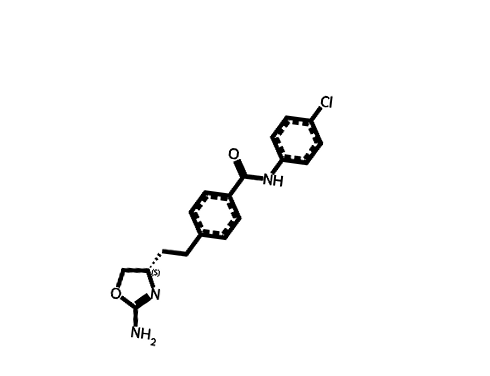 NC1=N[C@@H](CCc2ccc(C(=O)Nc3ccc(Cl)cc3)cc2)CO1